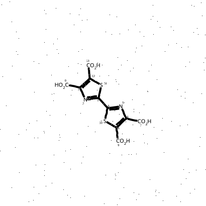 O=C(O)c1nc(-c2nc(C(=O)O)c(C(=O)O)s2)sc1C(=O)O